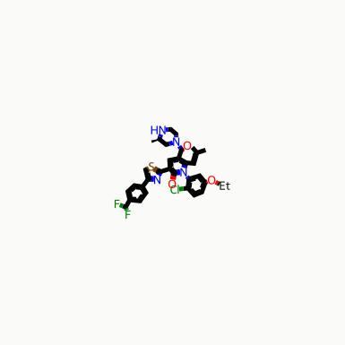 CCOc1ccc(Cl)c(-n2c(C=C(C)C)c(C(=O)N3CCN[C@H](C)C3)cc(-c3nc(-c4ccc(C(F)F)cc4)cs3)c2=O)c1